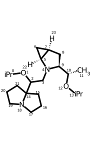 CC(C)OC(CN1[C@H]2C[C@H]2C[C@H]1[C@H](C)OC(C)C)C12CCCN1CCC2